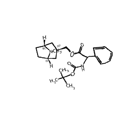 CN1[C@@H]2CC[C@H]1C[C@H](COC(=O)C(NC(=O)OC(C)(C)C)c1ccccc1)C2